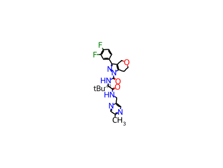 Cc1cnc(CNC(=O)[C@@H](NC(=O)n2nc(-c3ccc(F)c(F)c3)c3c2CCOC3)C(C)(C)C)cn1